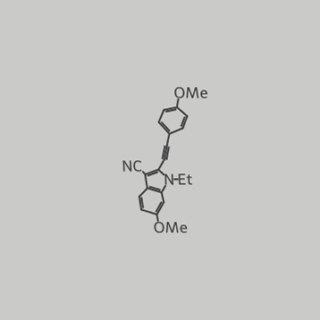 CCn1c(C#Cc2ccc(OC)cc2)c(C#N)c2ccc(OC)cc21